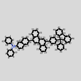 c1ccc(N(c2ccccc2)c2ccc3cc(-c4cc5c6ccccc6c(-c6ccc(C7(c8ccccc8)c8ccccc8-c8ccccc87)cc6)cc5c5ccccc45)ccc3c2)cc1